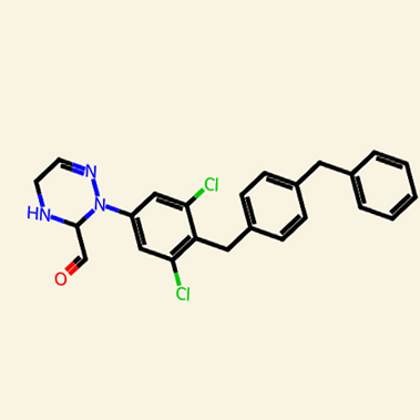 O=CC1NCC=NN1c1cc(Cl)c(Cc2ccc(Cc3ccccc3)cc2)c(Cl)c1